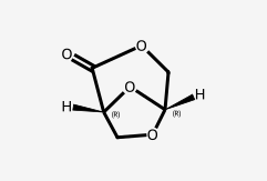 O=C1OC[C@@H]2OC[C@H]1O2